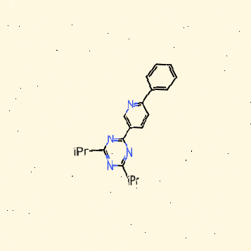 CC(C)c1nc(-c2ccc(-c3ccccc3)nc2)nc(C(C)C)n1